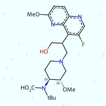 COc1ccc2ncc(F)c(C(CO)CN3CC[C@H](N(C(=O)O)C(C)(C)C)[C@@H](OC)C3)c2n1